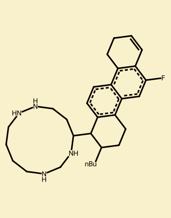 CCCCC1CCc2c(ccc3c4c(c(F)cc23)C=CCC4)C1C1CCNNCCCCNCN1